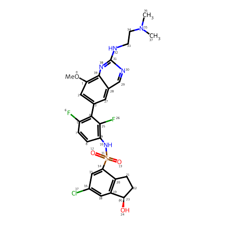 COc1cc(-c2c(F)ccc(NS(=O)(=O)c3cc(Cl)cc4c3CC[C@H]4O)c2F)cc2cnc(NCCN(C)C)nc12